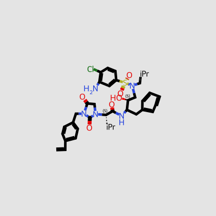 C=Cc1ccc(CN2C(=O)CN([C@H](C(=O)NC(Cc3ccccc3)[C@@H](O)CN(CC(C)C)S(=O)(=O)c3ccc(Cl)c(N)c3)C(C)C)C2=O)cc1